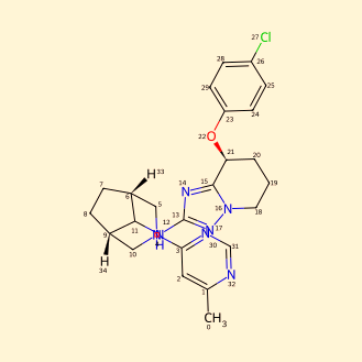 Cc1cc(N2C[C@H]3CC[C@@H](C2)C3Nc2nc3n(n2)CCC[C@@H]3Oc2ccc(Cl)cc2)ncn1